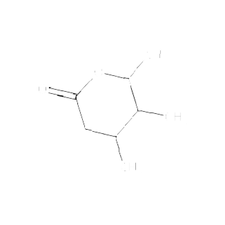 CC1CC(=O)OC(C)C1C